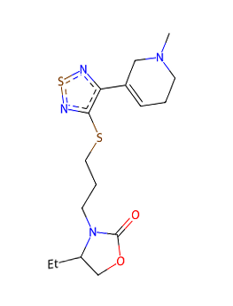 CCC1COC(=O)N1CCCSc1nsnc1C1=CCCN(C)C1